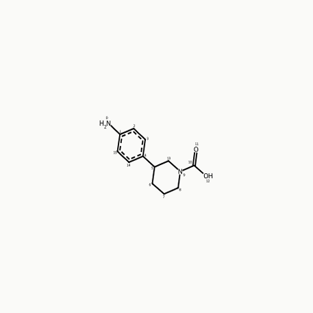 Nc1ccc(C2CCCN(C(=O)O)C2)cc1